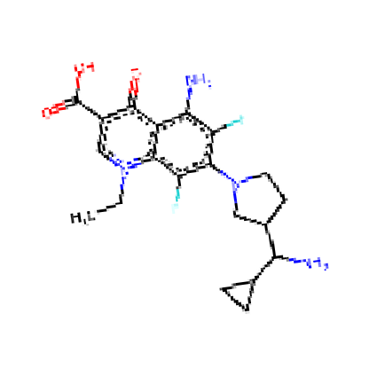 CCn1cc(C(=O)O)c(=O)c2c(N)c(F)c(N3CCC(C(N)C4CC4)C3)c(F)c21